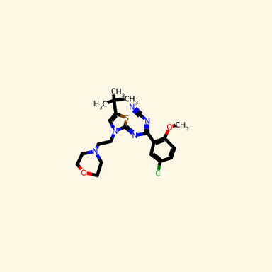 COc1ccc(Cl)cc1C(=NC#N)/N=c1\sc(C(C)(C)C)cn1CCN1CCOCC1